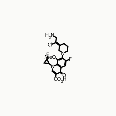 COc1c(N2CCC/C(=C(/Cl)CN)C2)c(F)cc2c(=O)c(C(=O)O)cn(C3CC3F)c12